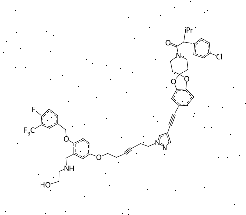 CC(C)C(C(=O)N1CCC2(CC1)Oc1ccc(C#Cc3cnn(CCC#CCCOc4ccc(OCc5ccc(F)c(C(F)(F)F)c5)c(CNCCO)c4)c3)cc1O2)c1ccc(Cl)cc1